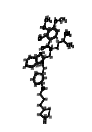 COc1ccc(C(=O)N(CCC(C)C)Cc2nc3ccccc3n2Cc2cccc(OCCCC3CCNC3)c2)c(Cl)c1OC